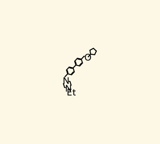 CCN1CCN(Cc2ccc(-c3ccc(COC4CCCC4)cc3)cc2)CC1